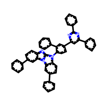 c1ccc(-c2ccc3nc4n(-c5ccc(-c6cc(-c7ccccc7)nc(-c7ccccc7)n6)cc5-c5ccccc5)c5ccc(-c6ccccc6)cc5n4c3c2)cc1